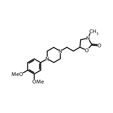 COc1ccc(N2CCN(CCC3CN(C)C(=O)O3)CC2)cc1OC